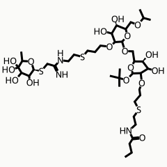 CCCC(=O)NCCSCCCOC1C(OC(C)(C)C)OC(COC2OC(COC(C)C)[C@@H](O)C(O)C2OCCCSCCNC(=N)CS[C@@H]2OC(C)C(O)(O)C(O)C2O)[C@@H](O)C1O